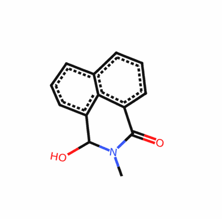 CN1C(=O)c2cccc3cccc(c23)C1O